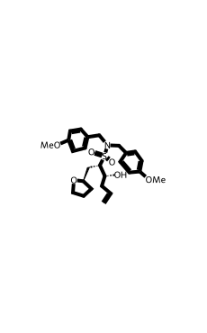 C=CC[C@@H](O)[C@H](C[C@H]1CCCO1)S(=O)(=O)N(Cc1ccc(OC)cc1)Cc1ccc(OC)cc1